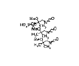 COC(C)(C)CN=C=O.COC(C)(C)CN=C=O.COC(C)(C)CN=C=O.O=S(=O)(O)O